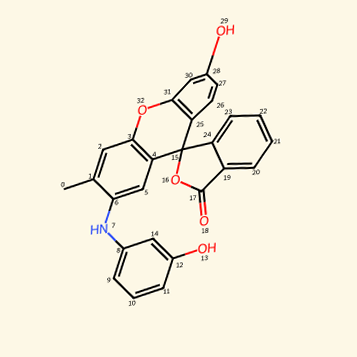 Cc1cc2c(cc1Nc1cccc(O)c1)C1(OC(=O)c3ccccc31)c1ccc(O)cc1O2